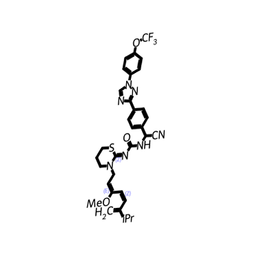 C=C(/C=C\C(=C/CN1CCCS/C1=N\C(=O)NC(C#N)c1ccc(-c2ncn(-c3ccc(OC(F)(F)F)cc3)n2)cc1)OC)C(C)C